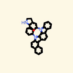 c1ccc(-n2c3ccc4ccccc4c3c3ccc4c5ccccc5n(-c5ccc6c(c5)CCN6)c4c32)cc1